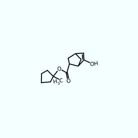 CC1(OC(=O)C2CC3C=C(O)C2C3)CCCC1